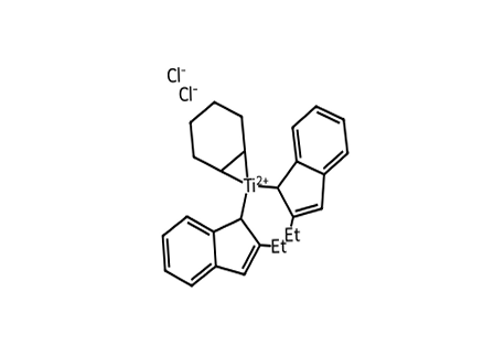 CCC1=Cc2ccccc2[CH]1[Ti+2]1([CH]2C(CC)=Cc3ccccc32)[CH]2CCCC[CH]21.[Cl-].[Cl-]